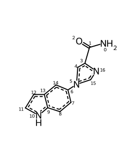 NC(=O)c1cn(-c2ccc3[nH]ccc3c2)cn1